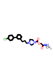 CNC(=O)COC(=O)N1CCN(CCCc2cccc(-c3ccc(Cl)cc3)c2)CC1